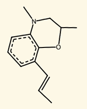 C/C=C/c1cccc2c1OC(C)CN2C